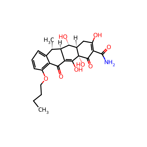 CCCCOc1cccc2c1C(=O)C1=C(O)[C@]3(O)C(=O)C(C(N)=O)=C(O)C[C@@H]3[C@@H](O)[C@@H]1[C@H]2C